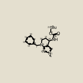 Cn1cc2c(n1)N(Cc1ccccc1)CCC2NC(=O)OC(C)(C)C